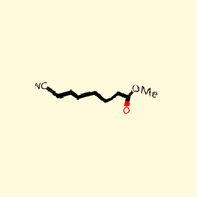 COC(=O)CCCCCCC#N